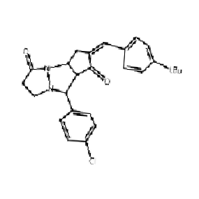 CC(C)(C)c1ccc(C=C2CC3C(C2=O)C(c2ccc(Cl)cc2)N2CCC(=O)N32)cc1